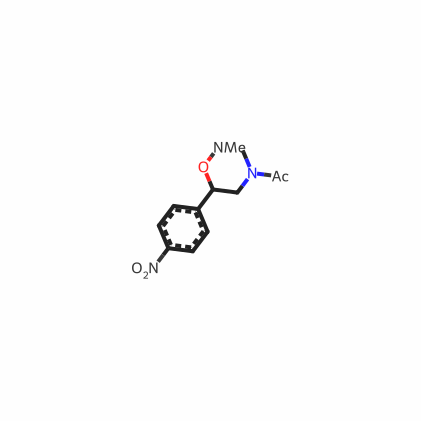 CNOC(CN(C)C(C)=O)c1ccc([N+](=O)[O-])cc1